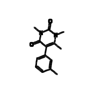 Cc1cccc(-c2c(C)n(C)c(=O)n(C)c2=O)c1